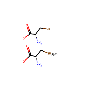 N[C@@H](CS)C(=O)[O-].N[C@@H](CS)C(=O)[O-].[Pb+2]